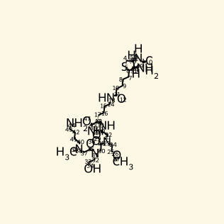 C=C1N[C@H]2CSC(CCCCC(=O)NCCCC[C@H](NC(=O)CN(CCOC)C(=O)CN(CCO)C(=O)CN(C)CCCCN)C(N)=O)[C@H]2N1